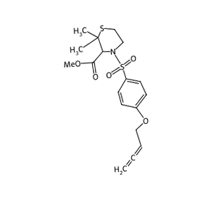 C=C=CCOc1ccc(S(=O)(=O)N2CCSC(C)(C)C2C(=O)OC)cc1